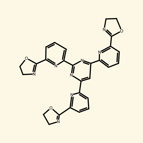 c1cc(C2=NCCO2)nc(-c2cc(-c3cccc(C4=NCCO4)n3)nc(-c3cccc(C4=NCCO4)n3)n2)c1